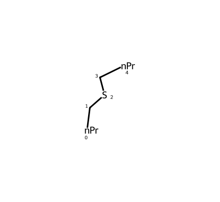 [CH2]CCCSCCC[CH2]